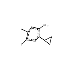 Cc1cc(N)c(C2CC2)cc1I